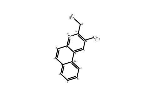 Cc1cc2c(ccc3ccccc32)[o+]c1CC(C)C